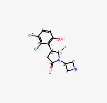 C[C@H]1[C@H](c2c(O)ccc(Cl)c2Cl)CC(=O)N1C1CNC1